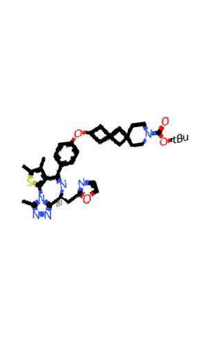 Cc1sc2c(c1C)C(c1ccc(OC3CC4(C3)CC3(CCN(C(=O)OC(C)(C)C)CC3)C4)cc1)=N[C@@H](Cc1ncco1)c1nnc(C)n1-2